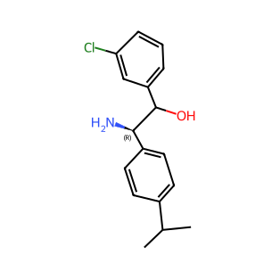 CC(C)c1ccc([C@@H](N)C(O)c2cccc(Cl)c2)cc1